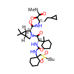 CNC(=O)C(=O)[C@H](CCC1CC1)NC(=O)[C@@H]1[C@@H]2[C@H](CN1C(=O)[C@@H](NC(=O)NC1(CS(=O)(=O)C(C)(C)C)CCCCC1)C1(C)CCCCC1)C2(C)C